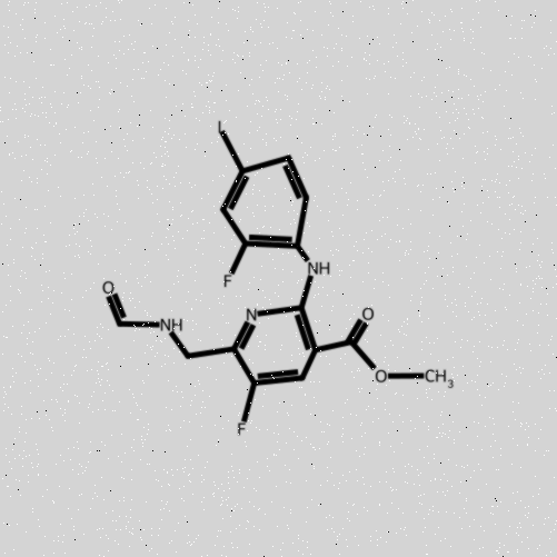 COC(=O)c1cc(F)c(CNC=O)nc1Nc1ccc(I)cc1F